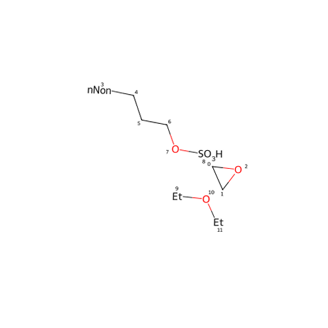 C1CO1.CCCCCCCCCCCCOS(=O)(=O)O.CCOCC